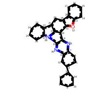 c1ccc(-c2ccc3nc4c5c6oc7ccccc7c6cc6c7ccccc7n(c4nc3c2)c65)cc1